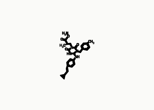 Cc1ccc(CN2C(=O)N(C[C@H](C)C(=O)ON)C(=O)NC2Nc2ccc(/C=C/C3CC3)cc2)cc1